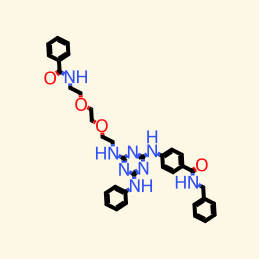 O=C(NCCOCCOCCNc1nc(Nc2ccccc2)nc(Nc2ccc(C(=O)NCc3ccccc3)cc2)n1)c1ccccc1